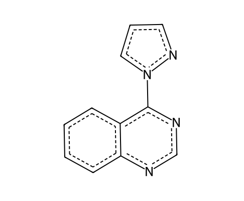 c1ccc2c(-n3cccn3)ncnc2c1